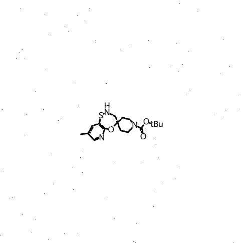 Cc1cnc2c(c1)SNCC1(CCN(C(=O)OC(C)(C)C)CC1)O2